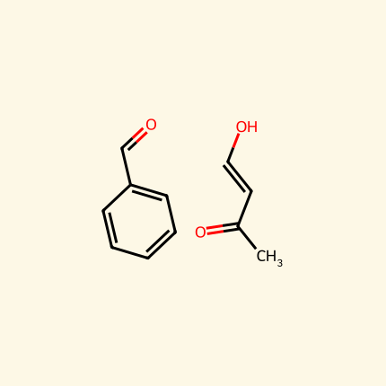 CC(=O)C=CO.O=Cc1ccccc1